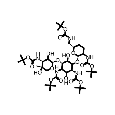 CC(C)(C)OC(=O)NC[C@@H]1CCC(NC(=O)OC(C)(C)C)[C@@H](OC2C(O)[C@@H](O[C@H]3OC[C@](C)(O)[C@H](NC(=O)OC(C)(C)C)C3O)C(NC(=O)OC(C)(C)C)[C@H](O)[C@@H]2NC(=O)OC(C)(C)C)O1